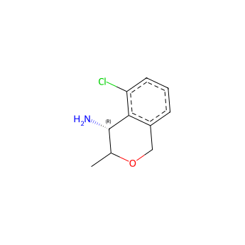 CC1OCc2cccc(Cl)c2[C@H]1N